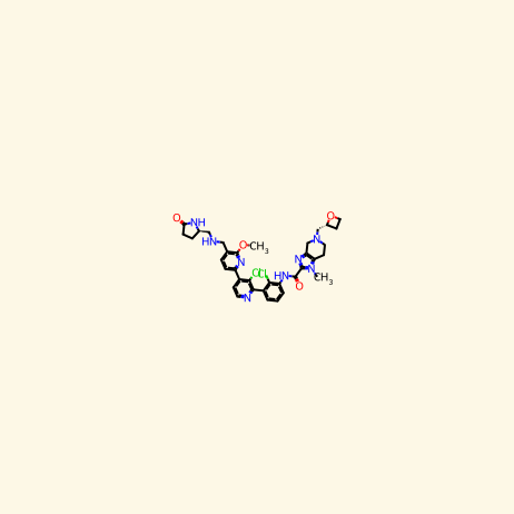 COc1nc(-c2ccnc(-c3cccc(NC(=O)c4nc5c(n4C)CCN(C[C@H]4CCO4)C5)c3Cl)c2Cl)ccc1CNC[C@H]1CCC(=O)N1